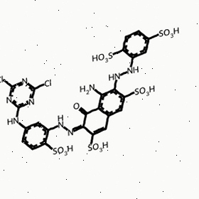 Nc1c(NNc2cc(S(=O)(=O)O)ccc2S(=O)(=O)O)c(S(=O)(=O)O)cc2c1C(=O)/C(=N\Nc1cc(Nc3nc(Cl)nc(Cl)n3)ccc1S(=O)(=O)O)C(S(=O)(=O)O)=C2